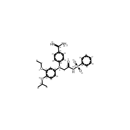 CCOc1cc(N(CC(=O)NS(=O)(=O)c2ccccc2)c2ccc(C(=N)N)cc2)ccc1OC(C)C